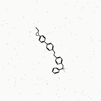 CCOc1ccc(-c2ccc(CCc3ccc(C[C@H](C)c4ccccc4)cc3)cc2)cc1